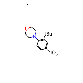 CC(C)(C)c1cc([N+](=O)[O-])ccc1N1CCOCC1